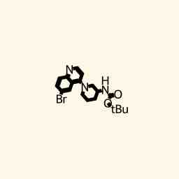 CC(C)(C)OC(=O)NC1CCCN(c2ccnc3ccc(Br)cc23)C1